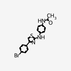 CC(=O)Nc1ccc(Nc2nc(-c3ccc(Br)cc3)cs2)cc1